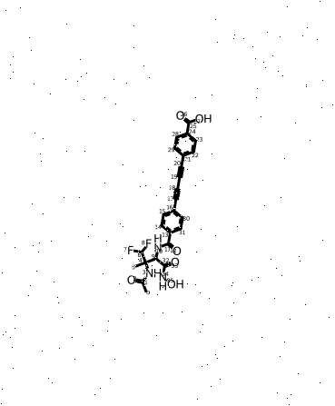 CC(=O)NC(C)(C(F)F)C(NC(=O)c1ccc(C#CC#Cc2ccc(C(=O)O)cc2)cc1)C(=O)NO